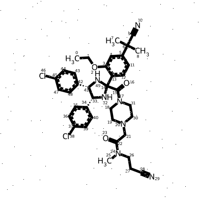 CCOc1cc(C(C)(C)C#N)ccc1C1(C(=O)N2CCN(CC(=O)N(C)CCC#N)CC2)N[C@H](c2ccc(Cl)cc2)[C@H](c2ccc(Cl)cc2)N1